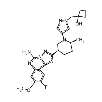 COc1cc2nc(N)n3nc([C@@H]4CC[C@H](C)N(c5cnn(CC6(O)CCC6)c5)C4)nc3c2cc1F